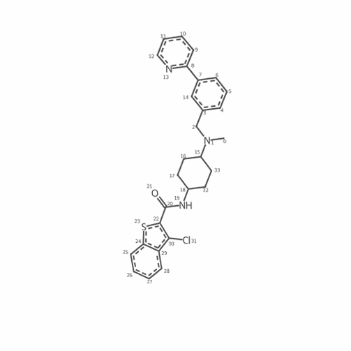 CN(Cc1cccc(-c2ccccn2)c1)C1CCC(NC(=O)c2sc3ccccc3c2Cl)CC1